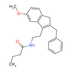 CCCC(=O)NCCC1=C(Cc2ccccc2)Cc2ccc(OC)cc21